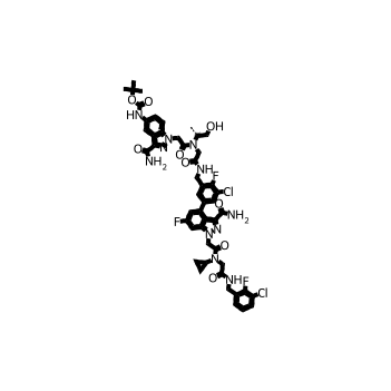 C[C@H](CO)N(CC(=O)NCc1cc(-c2cc(F)cc3c2c(C(N)=O)nn3CC(=O)N(CC(=O)NCc2cccc(Cl)c2F)C2CC2)cc(Cl)c1F)C(=O)Cn1nc(C(N)=O)c2cc(NC(=O)OC(C)(C)C)ccc21